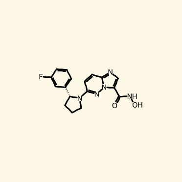 O=C(NO)c1cnc2ccc(N3CCC[C@@H]3c3cccc(F)c3)nn12